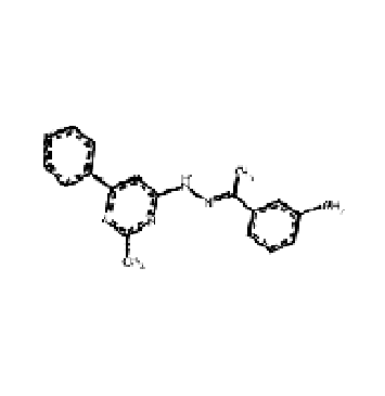 C/C(=N\Nc1cc(-c2ccccc2)nc(C)n1)c1cccc(N)c1